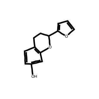 Oc1ccc2c(c1)OC(c1ccco1)CC2